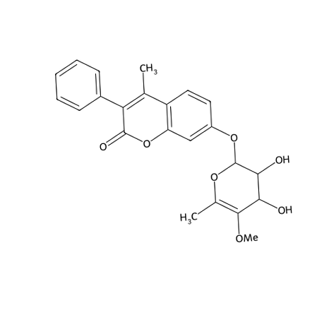 COC1=C(C)OC(Oc2ccc3c(C)c(-c4ccccc4)c(=O)oc3c2)C(O)C1O